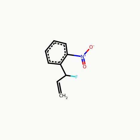 C=CC(F)c1ccccc1[N+](=O)[O-]